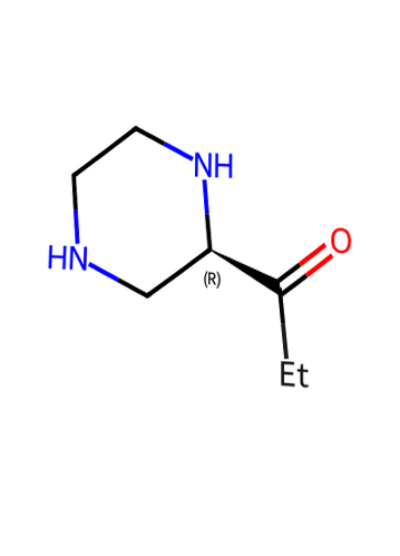 CCC(=O)[C@H]1CNCCN1